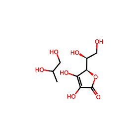 CC(O)CO.O=C1O[C@H]([C@@H](O)CO)C(O)=C1O